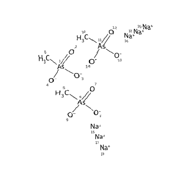 C[As](=O)([O-])[O-].C[As](=O)([O-])[O-].C[As](=O)([O-])[O-].[Na+].[Na+].[Na+].[Na+].[Na+].[Na+]